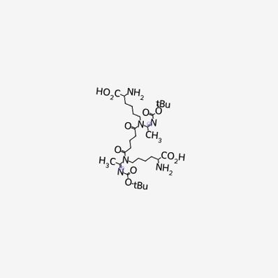 C/C(=N/C(=O)OC(C)(C)C)N(CCCCC(N)C(=O)O)C(=O)CCCC(=O)N(CCCCC(N)C(=O)O)/C(C)=N\C(=O)OC(C)(C)C